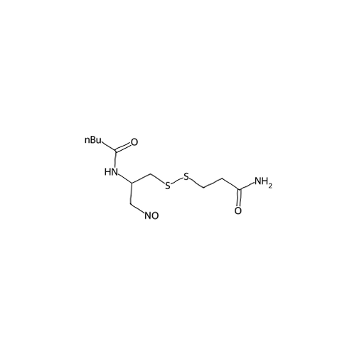 CCCCC(=O)NC(CN=O)CSSCCC(N)=O